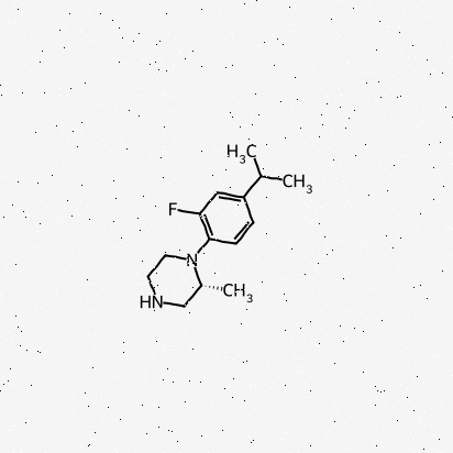 CC(C)c1ccc(N2CCNC[C@H]2C)c(F)c1